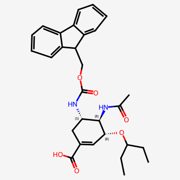 CCC(CC)O[C@@H]1C=C(C(=O)O)C[C@H](NC(=O)OCC2c3ccccc3-c3ccccc32)[C@H]1NC(C)=O